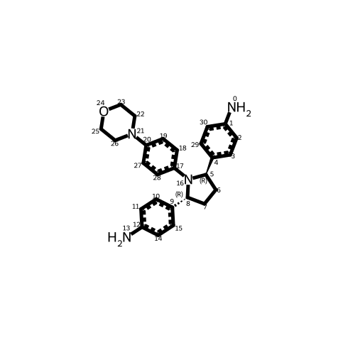 Nc1ccc([C@H]2CC[C@H](c3ccc(N)cc3)N2c2ccc(N3CCOCC3)cc2)cc1